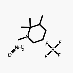 CC1CCCN(C)C1(C)C.F[B-](F)(F)F.[NH2+]=O